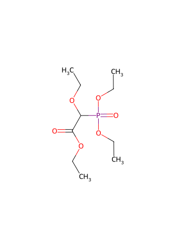 CCOC(=O)C(OCC)P(=O)(OCC)OCC